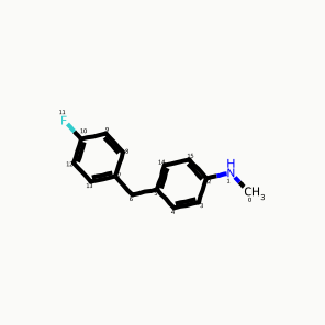 CNc1ccc(Cc2ccc(F)cc2)cc1